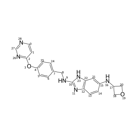 c1cc(Oc2ccc(CNc3nc4ccc(NC5COC5)cc4[nH]3)cc2)ncn1